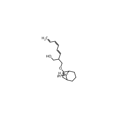 C=C/C=C\C=C\C(CO)COC1CC2CCCC1[N+]2(C)C(C)C